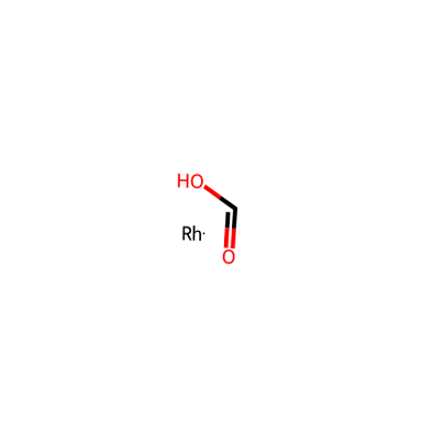 O=CO.[Rh]